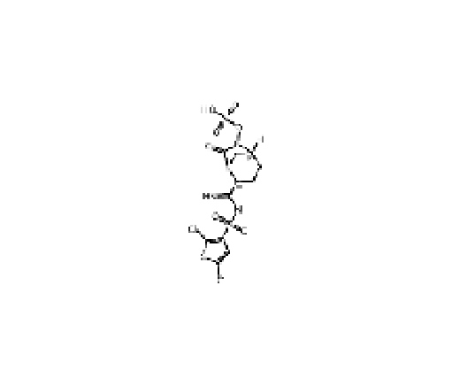 N=C(NS(=O)(=O)c1cc(Cl)sc1Cl)[C@@H]1CC[C@@H]2CN1C(=O)N2OS(=O)(=O)O